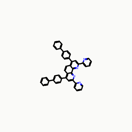 c1ccc(-c2ccc(-c3cc(-c4ccccn4)nc4c3ccc3c(-c5ccc(-c6ccccc6)cc5)cc(-c5ccccn5)nc34)cc2)cc1